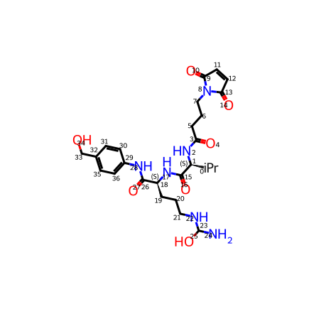 CC(C)[C@H](NC(=O)CCCN1C(=O)C=CC1=O)C(=O)N[C@@H](CCCNC(N)O)C(=O)Nc1ccc(CO)cc1